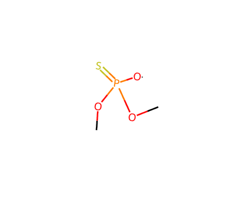 COP([O])(=S)OC